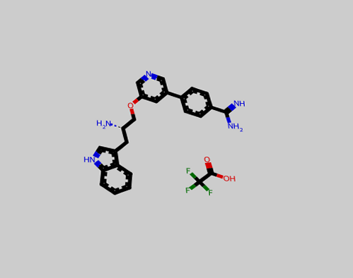 N=C(N)c1ccc(-c2cncc(OC[C@@H](N)Cc3c[nH]c4ccccc34)c2)cc1.O=C(O)C(F)(F)F